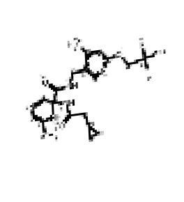 CC1=CN=CC(NC(=O)CC2CC2)(C(=O)NCc2cnc(OCC(F)(F)F)cc2C)N1